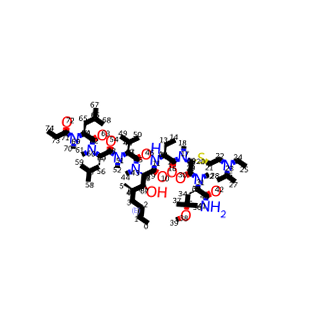 C/C=C/C[C@@H](C)[C@@H](O)[C@@H](C(=O)N[C@@H](CC)C(=O)N(C)[C@H](SCCN(CC)C(C)C)C(=O)N(C)[C@@H](CC(C)(C)OC)C(N)=O)N(C)C(=O)[C@H](C(C)C)N(C)C(=O)[C@H](CC(C)C)N(C)C(=O)[C@H](CC(C)C)N(C)C(=O)CC